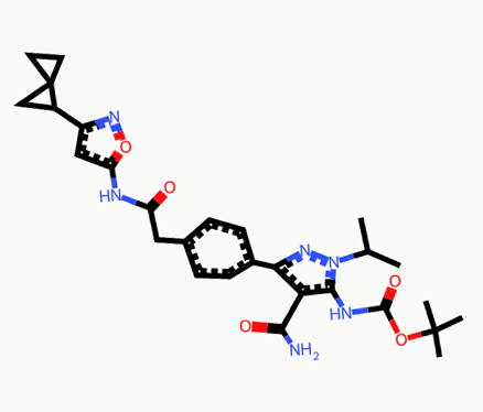 CC(C)n1nc(-c2ccc(CC(=O)Nc3cc(C4CC45CC5)no3)cc2)c(C(N)=O)c1NC(=O)OC(C)(C)C